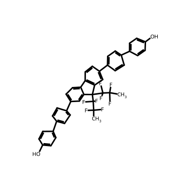 CC(F)(F)C(F)(F)C1(C(F)(F)C(C)(F)F)c2cc(-c3ccc(-c4ccc(O)cc4)cc3)ccc2-c2ccc(-c3ccc(-c4ccc(O)cc4)cc3)cc21